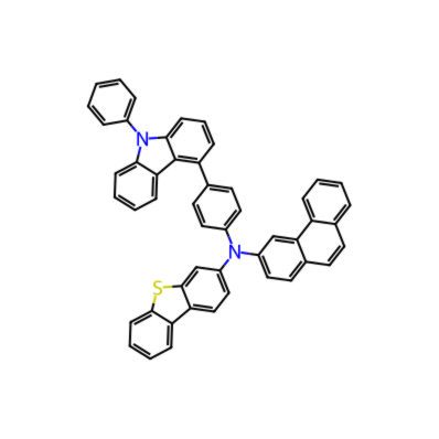 c1ccc(-n2c3ccccc3c3c(-c4ccc(N(c5ccc6c(c5)sc5ccccc56)c5ccc6ccc7ccccc7c6c5)cc4)cccc32)cc1